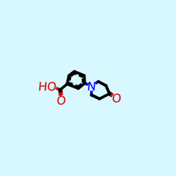 O=C1CCN(c2cccc(C(=O)O)c2)CC1